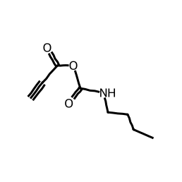 C#CC(=O)OC(=O)NCCCC